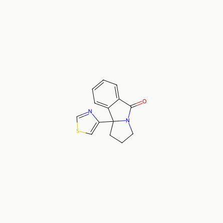 O=C1c2ccccc2C2(c3cscn3)CCCN12